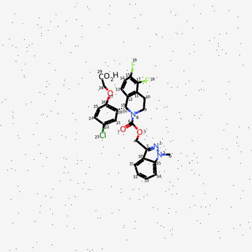 Cn1nc(COC(=O)N2CCc3c(ccc(F)c3F)[C@H]2c2cc(Cl)ccc2OCC(=O)O)c2ccccc21